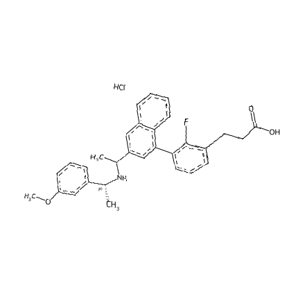 COc1cccc([C@@H](C)NC(C)c2cc(-c3cccc(CCC(=O)O)c3F)c3ccccc3c2)c1.Cl